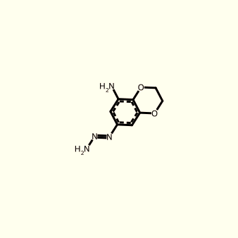 NN=Nc1cc(N)c2c(c1)OCCO2